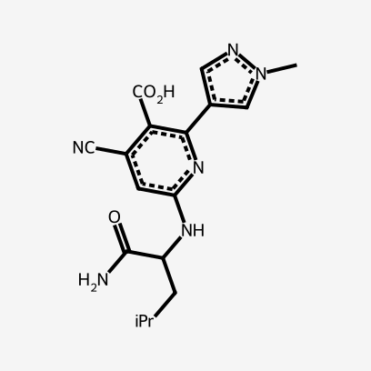 CC(C)CC(Nc1cc(C#N)c(C(=O)O)c(-c2cnn(C)c2)n1)C(N)=O